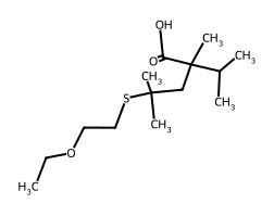 CCOCCSC(C)(C)CC(C)(C(=O)O)C(C)C